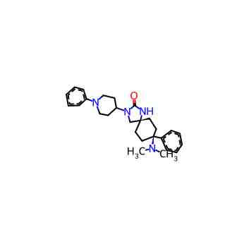 CN(C)[C@]1(c2ccccc2)CC[C@@]2(CC1)CN(C1CCN(c3ccccc3)CC1)C(=O)N2